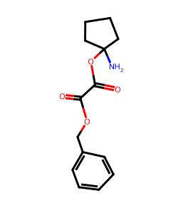 NC1(OC(=O)C(=O)OCc2ccccc2)CCCC1